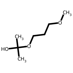 COCCCOC(C)(C)O